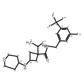 CC(C)C1(C(=O)NCc2cc(F)cc(C(F)(F)F)c2)CC(NC2CCOCC2)C1